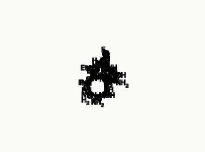 CCN(CC)CCNC(=O)c1c(C)[nH]c(/C=C2\C(OCC(=O)N[C@@H](CCN)C(=O)N[C@H](C(=O)N[C@@H](CCN)C(=O)N[C@H]3CCNC(=O)[C@H]([C@@H](C)O)NC(=O)[C@H](CCN)NC(=O)[C@H](CCN)NC(=O)[C@H](CC(C)C)NC(=O)[C@@H](Cc4ccccc4)NC(=O)[C@H](CCN)NC3=O)[C@@H](C)O)=Nc3ccc(F)cc32)c1C